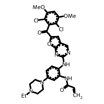 C=CC(=O)Nc1cc(N2CCN(CC)CC2)ccc1Nc1ncc2cc(C(=O)c3c(Cl)c(OC)cc(OC)c3Cl)oc2n1